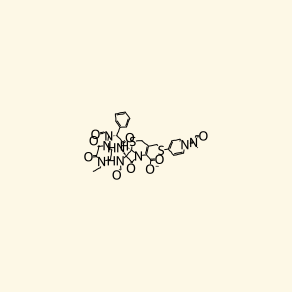 CCN1CCN(N(C=O)[C@@H](C(=O)N[C@]2(NC=O)C(=O)N3C(C(=O)[O-])=C(CSc4cc[n+](N(C)C=O)cc4)CS[C@@H]32)c2ccccc2)C(=O)C1=O